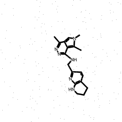 Cc1nnc(NCc2ccc3c(n2)NCCC3)c2c(C)n(C)cc12